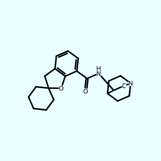 O=C(NC1CN2CCC1CC2)c1cccc2c1OC1(CCCCC1)C2